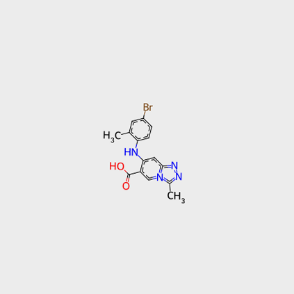 Cc1cc(Br)ccc1Nc1cc2nnc(C)n2cc1C(=O)O